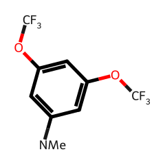 CNc1cc(OC(F)(F)F)cc(OC(F)(F)F)c1